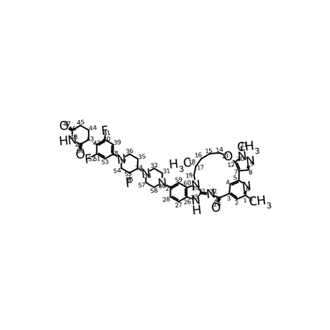 Cc1cc2cc(n1)-c1cnn(C)c1OCCC[C@@H](C)CN1/C(=N/C2=O)Nc2ccc(N3CCN([C@@H]4CCN(c5cc(F)c([C@H]6CCC(=O)NC6=O)c(F)c5)C[C@H]4F)CC3)cc21